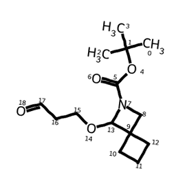 CC(C)(C)OC(=O)N1CC2(CCC2)C1OCCC=O